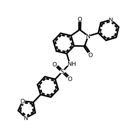 O=C1c2cccc(NS(=O)(=O)c3ccc(-c4cnco4)cc3)c2C(=O)N1c1cccnc1